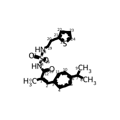 CC(=Cc1ccc(C(C)C)cc1)C(=O)NS(=O)(=O)NCCc1cccs1